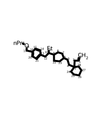 C=CCC1(CCC2CCC(C(CC)Cc3ccc(COCCC)cc3)CC2)CCCCC1